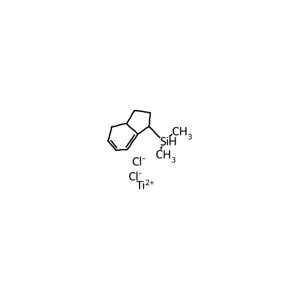 C[SiH](C)C1CCC2CC=CC=C21.[Cl-].[Cl-].[Ti+2]